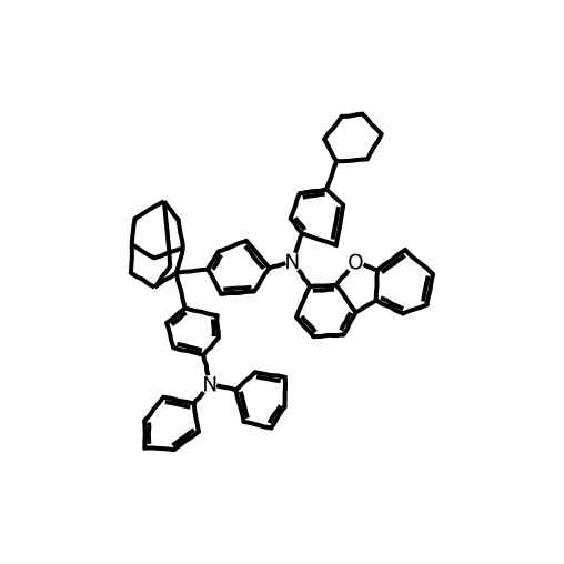 c1ccc(N(c2ccccc2)c2ccc(C3(c4ccc(N(c5ccc(C6CCCCC6)cc5)c5cccc6c5oc5ccccc56)cc4)C4CC5CC(C4)CC3C5)cc2)cc1